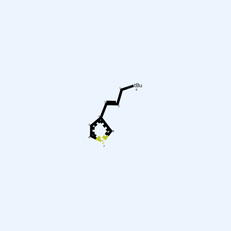 CC(C)(C)C/C=C/c1ccsc1